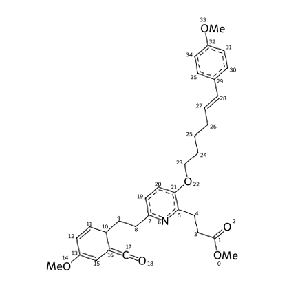 COC(=O)CCc1nc(CCC2C=CC(OC)=CC2=C=O)ccc1OCCCCC=Cc1ccc(OC)cc1